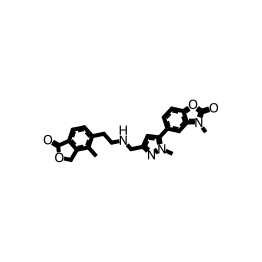 Cc1c(CCNCc2cc(-c3ccc4oc(=O)n(C)c4c3)n(C)n2)ccc2c1COC2=O